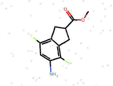 COC(=O)C1Cc2c(F)cc(N)c(F)c2C1